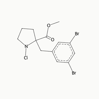 COC(=O)C1(Cc2cc(Br)cc(Br)c2)CCCN1Cl